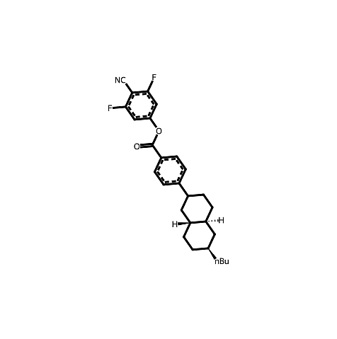 CCCC[C@H]1CC[C@@H]2CC(c3ccc(C(=O)Oc4cc(F)c(C#N)c(F)c4)cc3)CC[C@H]2C1